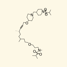 CC(CCCOCCCN(C)S(=O)(=O)C(C)C)CC[C@H](C)C#CCOC1CCN(CC2CCN(S(=O)(=O)C(C)C)CC2)CC1